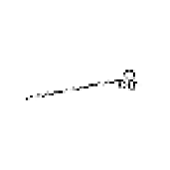 CCCCCCCCCCCCCCCCCCCCCC=CC1CCCCC12C(=O)OC2=O